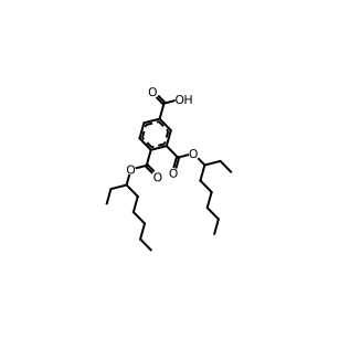 CCCCCC(CC)OC(=O)c1ccc(C(=O)O)cc1C(=O)OC(CC)CCCCC